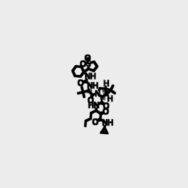 CCCCC(NC(=O)[C@@H]1[C@@H]2[C@H](CN1C(=O)[C@@H](NC(=O)NC1(C3CCCS3(=O)=O)CCCCC1)C(C)(C)C)C2(C)C)C(=O)C(=O)NC1CC1